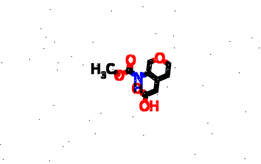 COC(=O)NC1COCCC1CC(=O)O